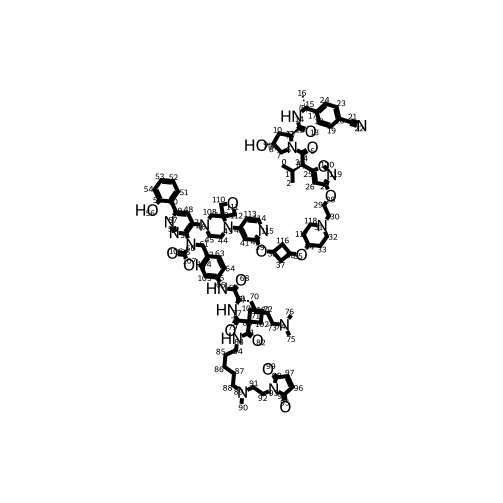 CC(C)[C@@H](C(=O)N1C[C@H](O)C[C@H]1C(=O)N[C@H](C)c1ccc(C#N)cc1)c1cc(OCCN2CCC(OC3CC(Oc4cc(N5CCN(c6cc(-c7ccccc7O)nnc6N(Cc6ccc(NC(=O)[C@H](CCCCN(C)C)NC(=O)C7(C(=O)NCCCCCN(C)CCN8C(=O)C=CC8=O)CCC7)cc6)C(=O)O)CC56COC6)ccn4)C3)CC2)no1